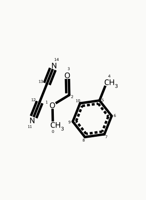 COC=O.Cc1ccccc1.N#CC#N